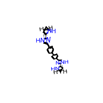 c1cc(-c2c[nH]c([C@@H]3C[C@@H]4C[C@@H]4N3)n2)ccc1-c1ccc(-c2c[nH]c([C@@H]3C[C@@H]4C[C@@H]4N3)n2)cc1